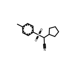 Cc1ccc(S(=O)(=O)C(C#N)C2CCCC2)cc1